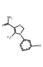 NC(=O)C1=C(C(F)(F)F)N(c2cccc(Cl)c2)CS1